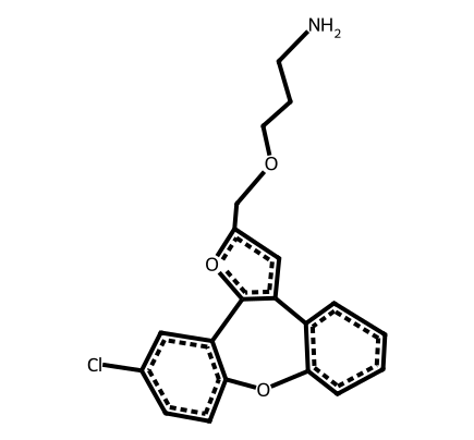 NCCCOCc1cc2c(o1)-c1cc(Cl)ccc1Oc1ccccc1-2